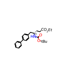 CCOC(=O)CC[C@@H](Cc1ccc(-c2ccccc2)cc1)NC(=O)OC(C)(C)C